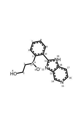 [O-][S+](CCO)c1ccccc1-c1nc2cnccc2[nH]1